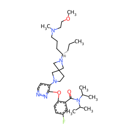 CCC[C@@H](CCCN(C)CCOC)N1CC2(CCN(c3ccnnc3Oc3ccc(F)cc3C(=O)N(C(C)C)C(C)C)C2)C1